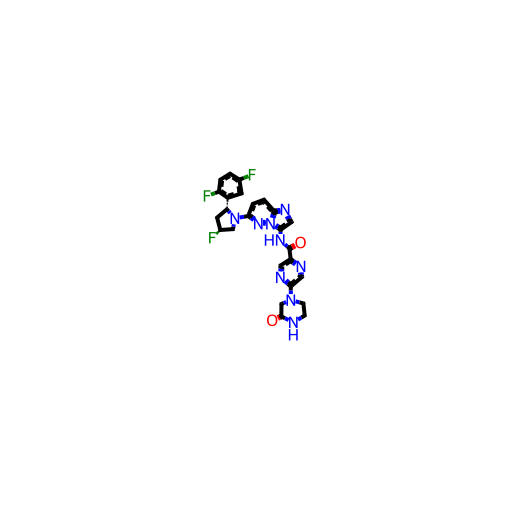 O=C1CN(c2cnc(C(=O)Nc3cnc4ccc(N5C[C@@H](F)C[C@@H]5c5cc(F)ccc5F)nn34)cn2)CCN1